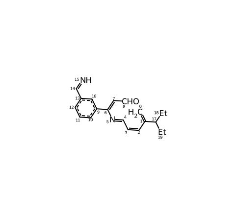 C=C(\C=C/C=N/C(=C\C=O)c1cccc(C=N)c1)C(CC)CC